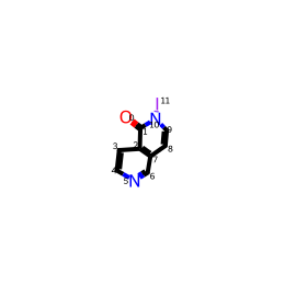 O=c1c2ccncc2ccn1I